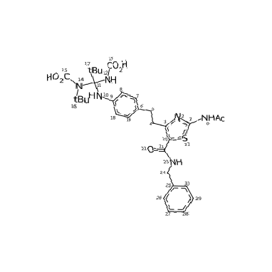 CC(=O)Nc1nc(CCc2ccc(NC(NC(=O)O)(N(C(=O)O)C(C)(C)C)C(C)(C)C)cc2)c(C(=O)NCc2ccccc2)s1